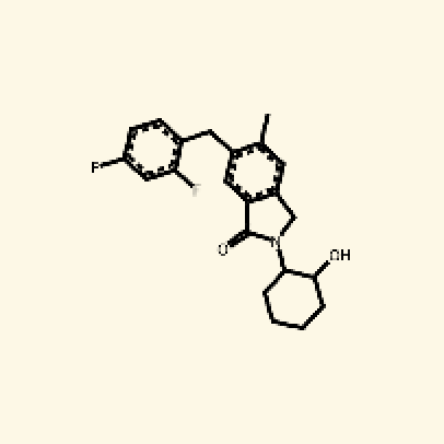 Cc1cc2c(cc1Cc1ccc(F)cc1F)C(=O)N(C1CCCCC1O)C2